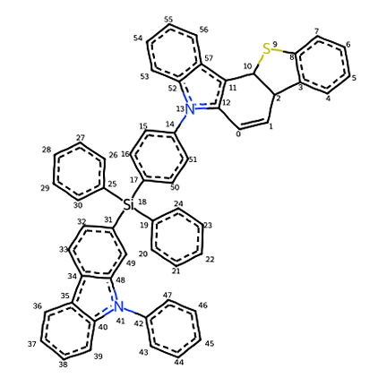 C1=CC2c3ccccc3SC2c2c1n(-c1ccc([Si](c3ccccc3)(c3ccccc3)c3ccc4c5ccccc5n(-c5ccccc5)c4c3)cc1)c1ccccc21